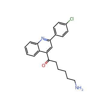 NCCCCCC(=O)c1cc(-c2ccc(Cl)cc2)nc2ccccc12